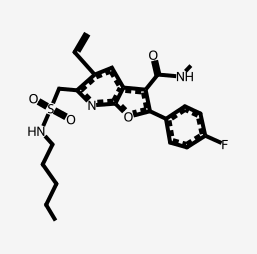 C=Cc1cc2c(C(=O)NC)c(-c3ccc(F)cc3)oc2nc1CS(=O)(=O)NCCCCC